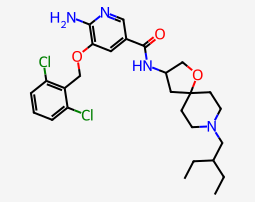 CCC(CC)CN1CCC2(CC1)CC(NC(=O)c1cnc(N)c(OCc3c(Cl)cccc3Cl)c1)CO2